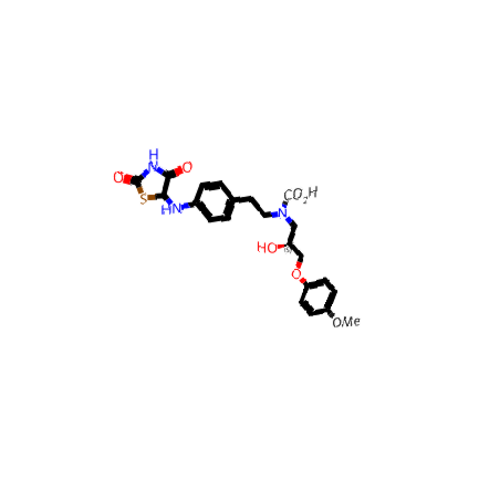 COc1ccc(OC[C@@H](O)CN(CCc2ccc(NC3SC(=O)NC3=O)cc2)C(=O)O)cc1